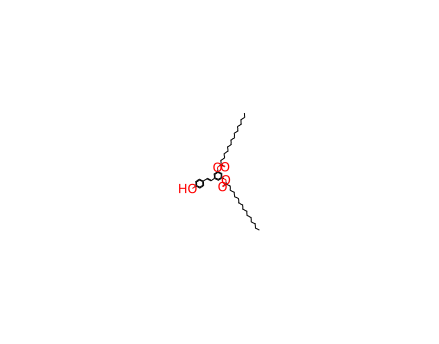 CCCCCCCCCCCCCCCC(=O)Oc1cc(C=Cc2ccc(O)cc2)cc(OC(=O)CCCCCCCCCCCCCCC)c1